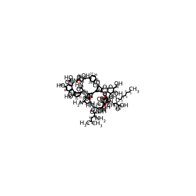 CCCCCCOC(CNC1(C)CC(OC2C(Oc3c4cc5cc3Oc3ccc(cc3Cl)[C@@H](O)[C@@H]3NC(=O)C(NC(=O)[C@@H]5NC(=O)C(CC(N)=O)NC(=O)C(NC(=O)[C@H](N)CC(C)C)[C@H](O)c5ccc(c(Cl)c5)O4)c4ccc(O)c(c4)-c4c(O)cc(O)cc4[C@H](C(=O)O)NC3=O)OC(CO)C(O)C2O)OC(C)C1O)C(=O)O